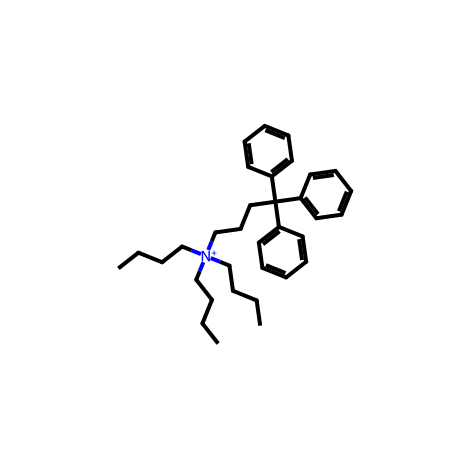 CCCC[N+](CCCC)(CCCC)CCCC(c1ccccc1)(c1ccccc1)c1ccccc1